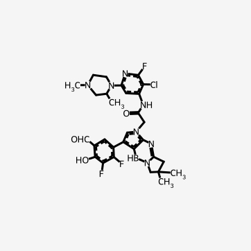 CC1CN(C)CCN1c1cc(NC(=O)Cn2cc(-c3cc(C=O)c(O)c(F)c3F)c3c2N=C2CC(C)(C)CN2B3)c(Cl)c(F)n1